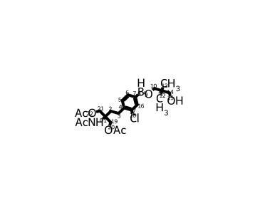 CC(=O)NC(CCc1ccc(BOCC(C)(C)CO)cc1Cl)(COC(C)=O)COC(C)=O